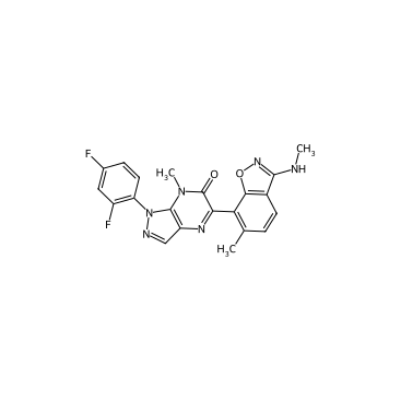 CNc1noc2c(-c3nc4cnn(-c5ccc(F)cc5F)c4n(C)c3=O)c(C)ccc12